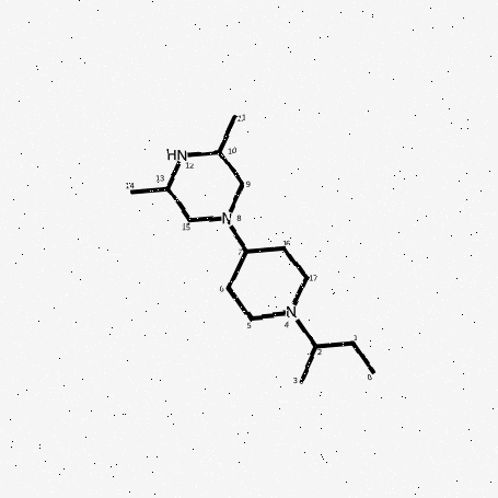 CCC(C)N1CCC(N2CC(C)NC(C)C2)CC1